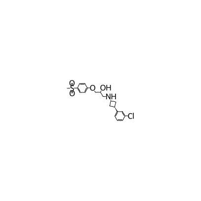 CS(=O)(=O)c1ccc(OCC(O)CN[C@H]2C[C@H](c3cccc(Cl)c3)C2)cc1